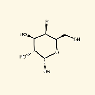 OC[C@H]1O[C@H](O)[C@H](O)[C@@H](O)[C@H]1Br